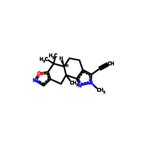 C#Cc1c2c(nn1C)C1(C)Cc3cnoc3C(C)(C)[C@@H]1CC2